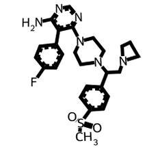 CS(=O)(=O)c1ccc(C(CN2CCC2)N2CCN(c3ncnc(N)c3-c3ccc(F)cc3)CC2)cc1